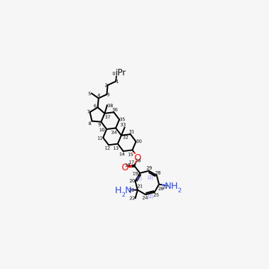 CC(C)CCCC(C)C1CCC2C3CCC4CC(OC(=O)C5=C/C(C)(N)/C=C\C(N)/C=C\5)CCC4(C)C3CCC12C